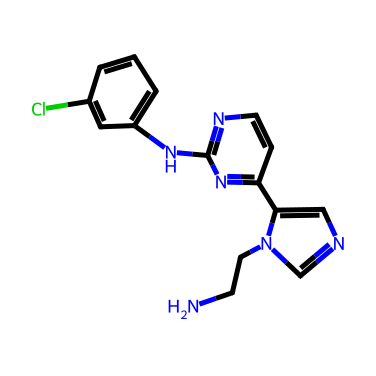 NCCn1cncc1-c1ccnc(Nc2cccc(Cl)c2)n1